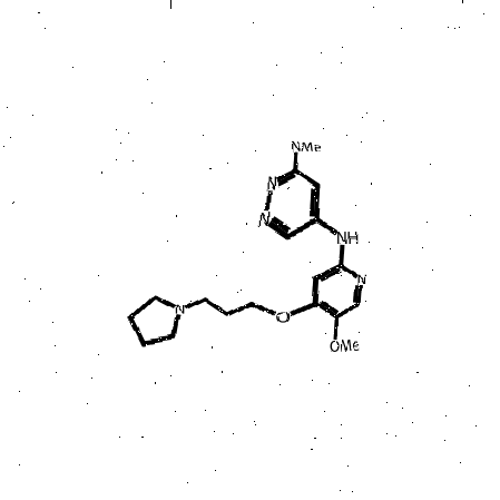 CNc1cc(Nc2cc(OCCCN3CCCC3)c(OC)cn2)cnn1